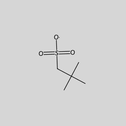 CC(C)(C)CS([O])(=O)=O